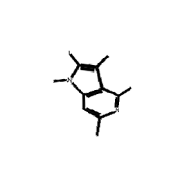 Cc1cc2c(c(C)n1)c(C)c(I)n2C